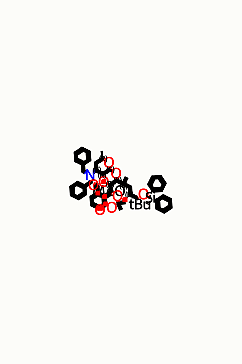 CO[C@](C)(C[C@@H](C)CO[Si](c1ccccc1)(c1ccccc1)C(C)(C)C)[C@H](O[C@@H]1O[C@H](C)C[C@H](N(Cc2ccccc2)Cc2ccccc2)[C@H]1OC(=O)c1ccccc1)[C@@H](C)C1=C(C)C(=O)OC(C)(C)O1